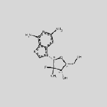 CC1(F)[C@@H](O)[C@@H](CO)O[C@H]1n1cnc2c(N)nc(N)nc21